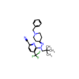 CC(C)(C)CN(N=C1CCN(Cc2ccccc2)CC1)c1nc(C#N)ccc1C(F)(F)F